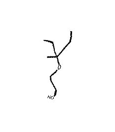 CCC(C)(CC)OCCO